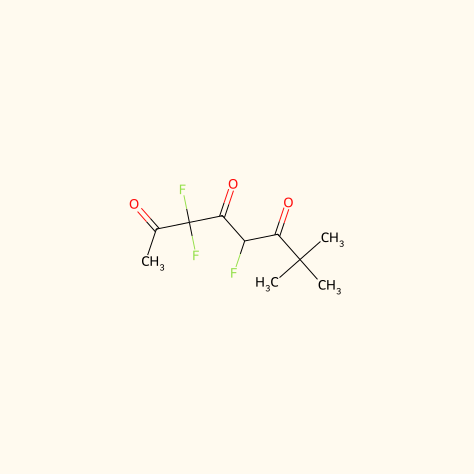 CC(=O)C(F)(F)C(=O)C(F)C(=O)C(C)(C)C